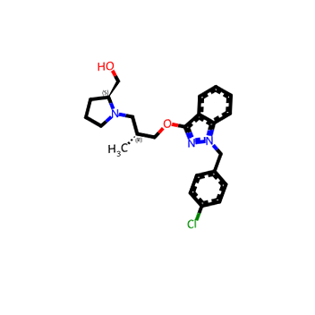 C[C@@H](COc1nn(Cc2ccc(Cl)cc2)c2ccccc12)CN1CCC[C@H]1CO